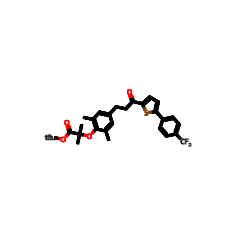 Cc1cc(CCC(=O)c2ccc(-c3ccc(C(F)(F)F)cc3)s2)cc(C)c1OC(C)(C)C(=O)OC(C)(C)C